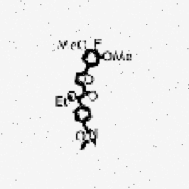 CCOC(C(=O)c1ccc(-c2cc(OC)c(F)c(OC)c2)o1)c1ccc(-c2nnc(C)o2)cc1